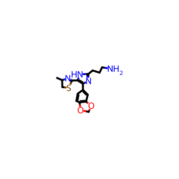 CC1CSC(c2[nH]c(CCCN)nc2-c2ccc3c(c2)OCO3)=N1